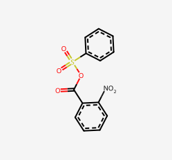 O=C(OS(=O)(=O)c1ccccc1)c1ccccc1[N+](=O)[O-]